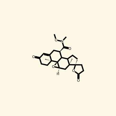 CON(C)C(=O)[C@@H]1CC2=CC(=O)CC[C@]2(C)[C@@]23O[C@@H]2C[C@@]2(C)C(CC[C@@]24CCC(=O)O4)C13